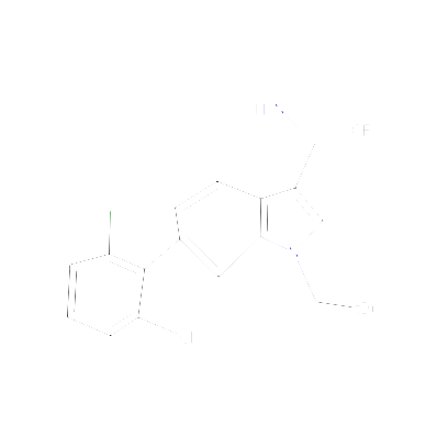 CC(C)(C)Cn1cc([C@H](N)C(F)(F)F)c2ccc(-c3c(F)cccc3Cl)cc21